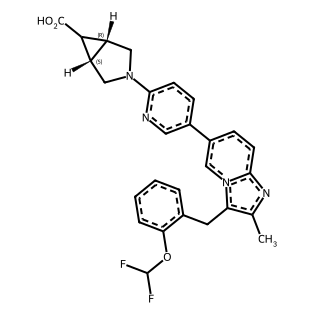 Cc1nc2ccc(-c3ccc(N4C[C@@H]5C(C(=O)O)[C@@H]5C4)nc3)cn2c1Cc1ccccc1OC(F)F